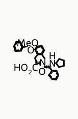 COc1ccc2c(c1OCc1ccccc1)C[C@@H](C(=O)O)N(C(=O)[C@@H](NC1CCCC1)c1ccccc1)C2